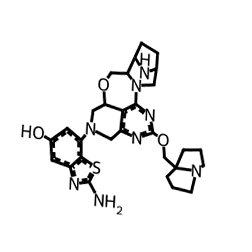 Nc1nc2cc(O)cc(N3Cc4nc(OCC56CCCN5CCC6)nc5c4C(C3)OCC3C4CCC(CN53)N4)c2s1